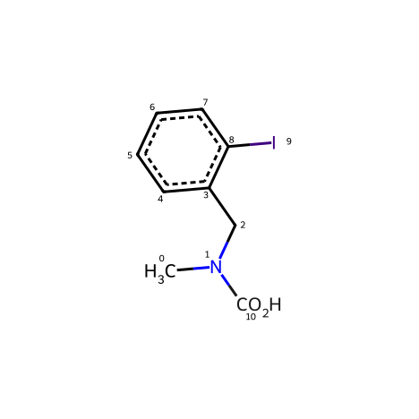 CN(Cc1ccccc1I)C(=O)O